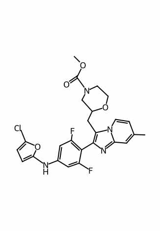 COC(=O)N1CCOC(Cc2c(-c3c(F)cc(Nc4ccc(Cl)o4)cc3F)nc3cc(C)ccn23)C1